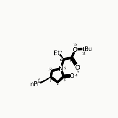 CCC[C@@H]1CC(=O)N([C@@H](CC)C(=O)OC(C)(C)C)C1